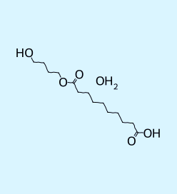 O.O=C(O)CCCCCCCCC(=O)OCCCCO